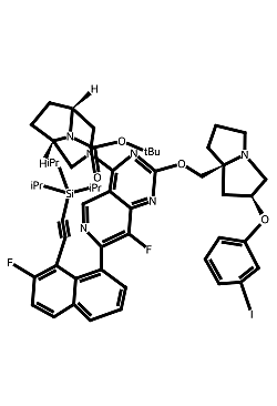 CC(C)[Si](C#Cc1c(F)ccc2cccc(-c3ncc4c(N5C[C@H]6CC[C@@H](C5)N6C(=O)OC(C)(C)C)nc(OC[C@@]56CCCN5C[C@@H](Oc5cccc(I)c5)C6)nc4c3F)c12)(C(C)C)C(C)C